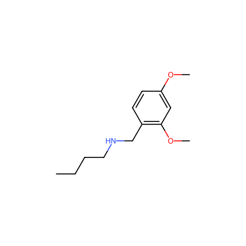 CCCCNCc1ccc(OC)cc1OC